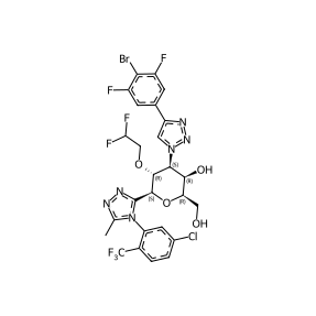 Cc1nnc([C@@H]2O[C@H](CO)[C@H](O)[C@H](n3cc(-c4cc(F)c(Br)c(F)c4)nn3)[C@H]2OCC(F)F)n1-c1cc(Cl)ccc1C(F)(F)F